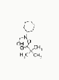 CC(C)(C)C(=O)ON(CO)C1CCCCC1